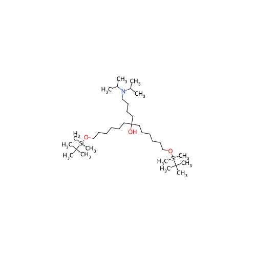 CC(C)N(CCCCC(O)(CCCCCCO[Si](C)(C)C(C)(C)C)CCCCCCO[Si](C)(C)C(C)(C)C)C(C)C